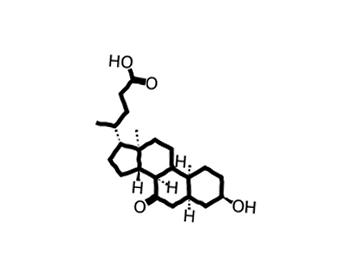 CC(CCC(=O)O)[C@H]1CC[C@H]2[C@@H]3C(=O)C[C@@H]4C[C@H](O)CC[C@]4(C)[C@H]3CC[C@]12C